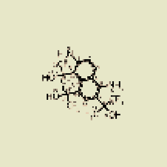 Nc1ccc2c(N)c(C(O)(C(F)(F)F)C(F)(F)F)cc(C(O)(C(F)(F)F)C(F)(F)F)c2c1C(O)(C(F)(F)F)C(F)(F)F